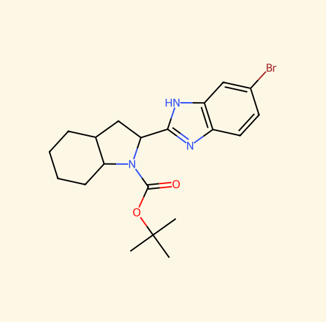 CC(C)(C)OC(=O)N1C(c2nc3ccc(Br)cc3[nH]2)CC2CCCCC21